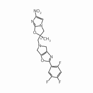 C[C@]1(CN2Cc3nc(-c4cc(F)c(F)cc4F)oc3C2)Cn2cc([N+](=O)[O-])nc2O1